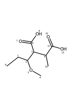 CCC(OC)C(C(=O)O)C(C)C(=O)O